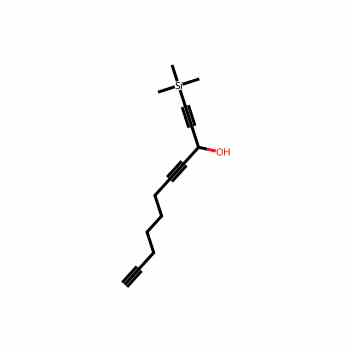 C#CCCCCC#CC(O)C#C[Si](C)(C)C